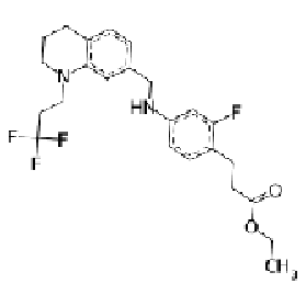 CCOC(=O)CCc1ccc(NCc2ccc3c(c2)N(CCC(F)(F)F)CCC3)cc1F